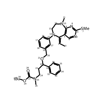 C/C=C1\c2cnc(SC)nc2N(C)CCN1c1cccc(COC(CCN(C)C(=O)OC(C)(C)C)c2ccccc2)c1